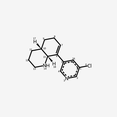 Clc1cncc(C2=CCC[C@H]3CCCN[C@@H]23)c1